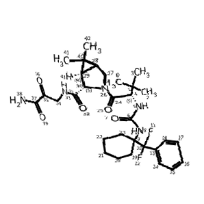 CC(C)(C)[C@H](NC(=O)NC1(C(F)(F)c2ccccc2)CCCCC1)C(=O)N1CC2[C@@H]([C@H]1C(=O)NCC(=O)C(N)=O)C2(C)C